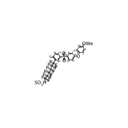 COc1ccc(Oc2ccc(S(=O)(=O)c3ccc(C)c(C(F)(F)C(F)(F)C(F)(F)C(F)(F)C(F)(F)C(F)(F)S(=O)(=O)O)c3)cc2)cc1